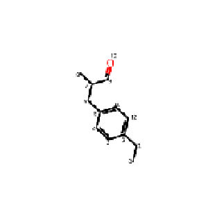 CCc1ccc(CC(C)C=O)cc1